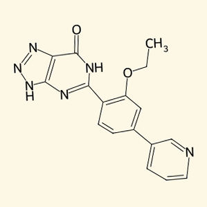 CCOc1cc(-c2cccnc2)ccc1-c1nc2[nH]nnc2c(=O)[nH]1